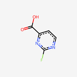 O=C(O)c1ccnc(F)n1